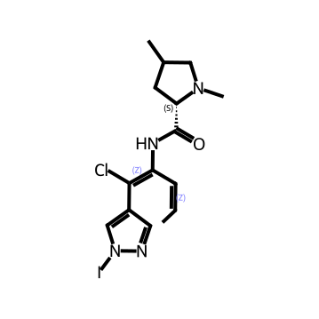 C/C=C\C(NC(=O)[C@@H]1CC(C)CN1C)=C(\Cl)c1cnn(I)c1